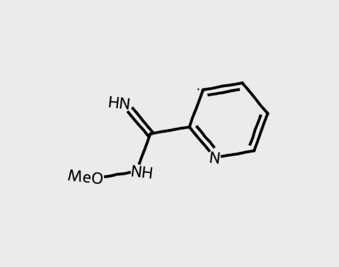 CONC(=N)c1[c]cccn1